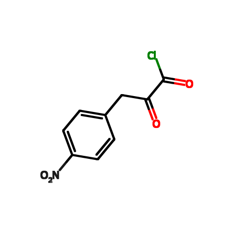 O=C(Cl)C(=O)Cc1ccc([N+](=O)[O-])cc1